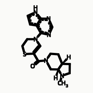 CN1CC[C@H]2CCN(C(=O)C3=CN(c4ncnc5[nH]ccc45)CCS3)C[C@H]21